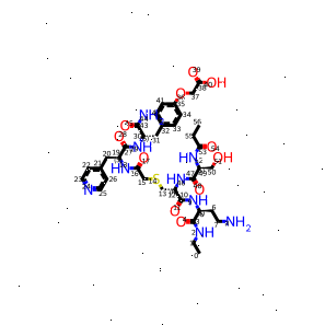 CCNC(=O)[C@H](CCN)NC(=O)[C@H](CSCC(=O)N[C@@H](Cc1ccncc1)C(=O)N[C@@H](Cc1ccc(OCC(=O)O)cc1)C(N)=O)NC(=O)[C@H](CO)NC(=O)CC